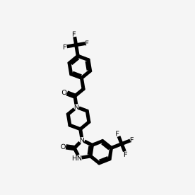 O=C(Cc1ccc(C(F)(F)F)cc1)N1CCC(n2c(=O)[nH]c3ccc(C(F)(F)F)cc32)CC1